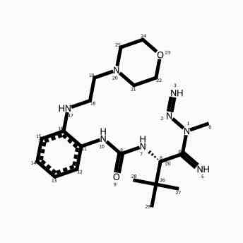 CN(N=N)C(=N)[C@@H](NC(=O)Nc1ccccc1NCCN1CCOCC1)C(C)(C)C